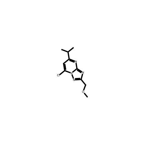 COCc1nc2nc(C(C)C)cc(Cl)n2n1